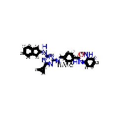 CNN(Cc1ccc(C(=O)Nc2ccccc2N)cc1)c1nc(NC2Cc3ccccc3C2)nc(C2CC2)n1